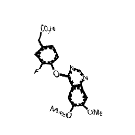 COc1cc2ncnc(Oc3ccc(CC(=O)O)cc3F)c2cc1OC